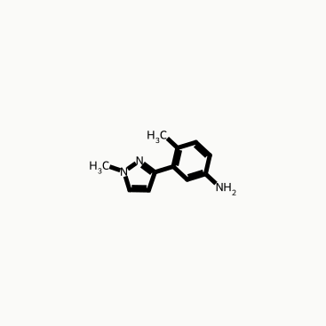 Cc1ccc(N)cc1-c1ccn(C)n1